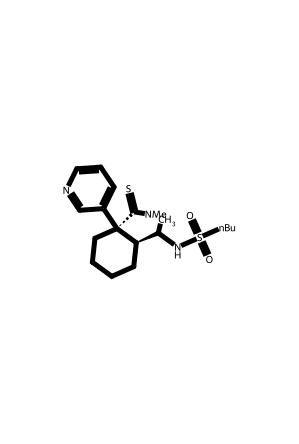 CCCCS(=O)(=O)NC(C)[C@H]1CCCC[C@@]1(C(=S)NC)c1cccnc1